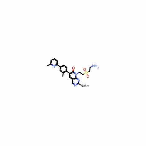 CNc1ncc2cc(-c3ccc(-c4cccc(C)n4)cc3C)c(=O)n(CCS(=O)(=O)CCN)c2n1